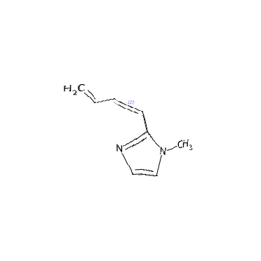 C=C/C=C\c1nccn1C